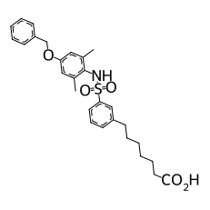 Cc1cc(OCc2ccccc2)cc(C)c1NS(=O)(=O)c1cccc(CCCCCCC(=O)O)c1